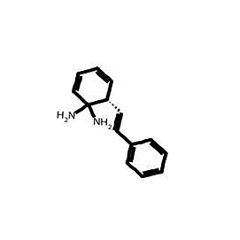 NC1(N)C=CC=C[C@@H]1C=Cc1ccccc1